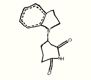 O=C1CCC(N2CCc3ccccc32)C(=O)N1